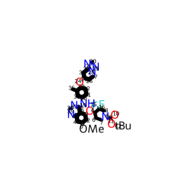 COc1cc(O[C@H]2CCN(C(=O)OC(C)(C)C)CC2(F)F)c2c(Nc3ccc(Oc4ccn5ncnc5c4)c(C)c3)ncnc2c1